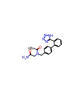 CCCCC(=O)N(CC(N)=O)Cc1ccc(-c2ccccc2-c2nnn[nH]2)cc1